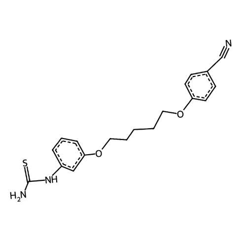 N#Cc1ccc(OCCCCCOc2cccc(NC(N)=S)c2)cc1